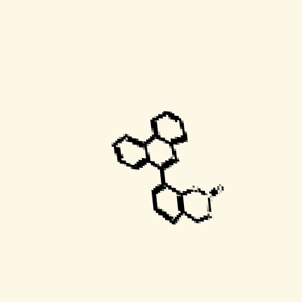 O=S1NCc2cccc(-c3cc4ccccc4c4ccccc34)c2O1